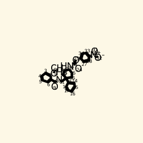 COc1ccccc1C(=O)NCC1(c2ccccc2)CCC(NC(=O)Oc2ccc([N+](=O)[O-])cc2)CC1